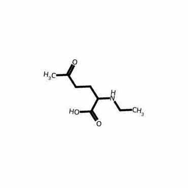 CCNC(CCC(C)=O)C(=O)O